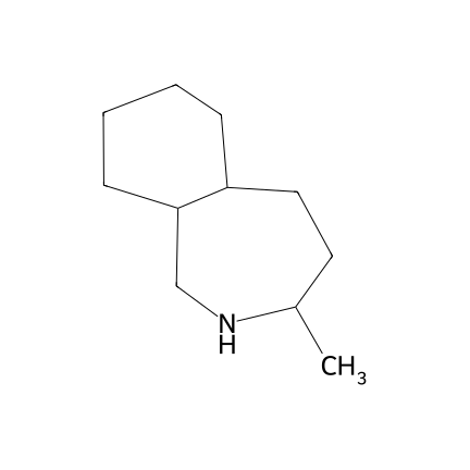 CC1CCC2CCCCC2CN1